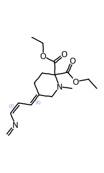 C=N/C=C\C=C1/CCC(C(=O)OCC)(C(=O)OCC)N(C)C1